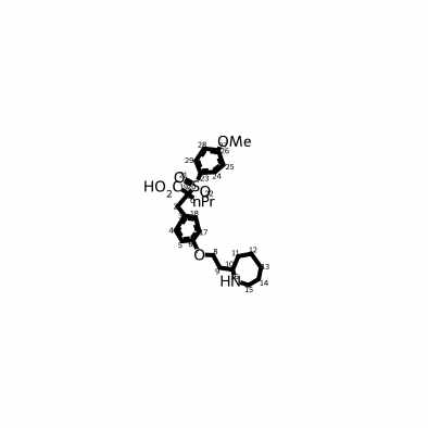 CCCC(Cc1ccc(OCCC2CCCCCN2)cc1)(C(=O)O)S(=O)(=O)c1ccc(OC)cc1